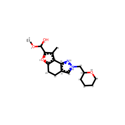 CCOC(O)c1oc2c(c1C)-c1nn(CC3CCCCO3)cc1CC2